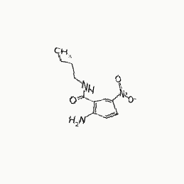 CCCCNC(=O)c1cc([N+](=O)[O-])ccc1N